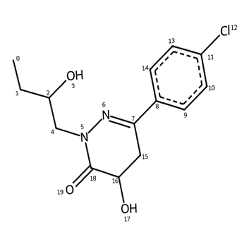 CCC(O)CN1N=C(c2ccc(Cl)cc2)CC(O)C1=O